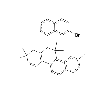 Brc1ccc2ccccc2c1.Cc1ccc2ccc3c(c2c1)C(C)(C)CC1=C3C=CC(C)(C)C1